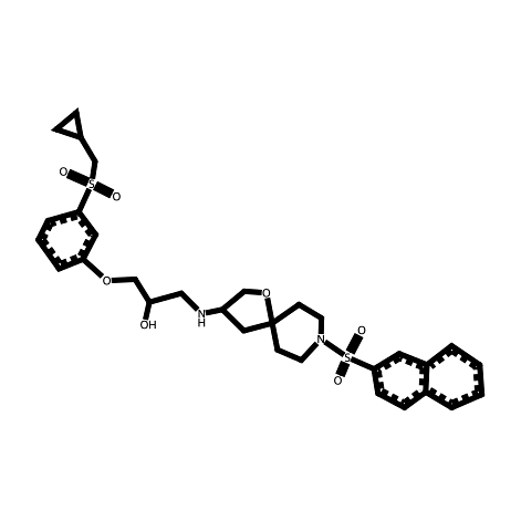 O=S(=O)(CC1CC1)c1cccc(OCC(O)CNC2COC3(CCN(S(=O)(=O)c4ccc5ccccc5c4)CC3)C2)c1